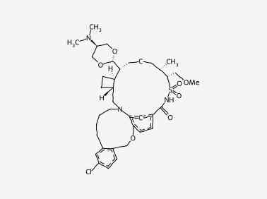 COC[C@H]1[C@@H](C)CCC[C@@H]([C@H]2OC[C@H](N(C)C)CO2)[C@@H]2CC[C@H]2CN2CCCCc3cc(Cl)ccc3COc3ccc(cc32)C(=O)NS1(=O)=O